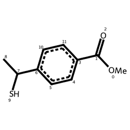 COC(=O)c1ccc(C(C)S)cc1